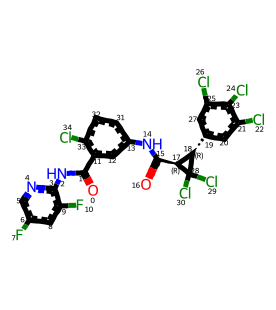 O=C(Nc1ncc(F)cc1F)c1cc(NC(=O)[C@H]2[C@H](c3cc(Cl)c(Cl)c(Cl)c3)C2(Cl)Cl)ccc1Cl